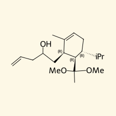 C=CCC(O)C[C@H]1C(C)=CC[C@H](C(C)C)[C@H]1C(C)(OC)OC